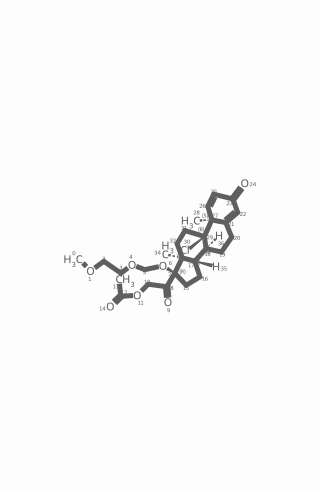 COCCOCO[C@]1(C(=O)COC(C)=O)CC[C@H]2[C@@H]3CCC4=CC(=O)C=C[C@]4(C)[C@@]3(Cl)CC[C@@]21C